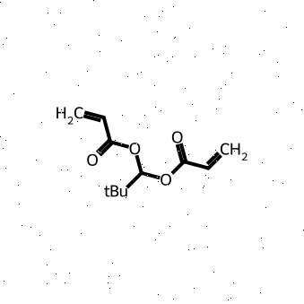 C=CC(=O)OC(OC(=O)C=C)C(C)(C)C